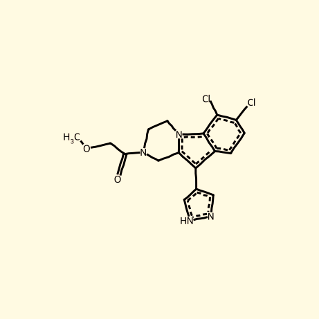 COCC(=O)N1CCn2c(c(-c3cn[nH]c3)c3ccc(Cl)c(Cl)c32)C1